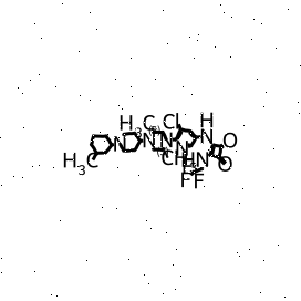 CC1CCCC(N2CCC(N3C[C@H](C)N(c4ncc(Nc5c(NCC(F)(F)F)c(=O)c5=O)cc4Cl)C[C@H]3C)CC2)C1